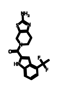 CC(F)(F)c1cccc2[nH]c(C(=O)N3CCc4nc(N)sc4C3)cc12